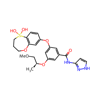 COC[C@H](C)Oc1cc(Oc2ccc3c(c2)OCCCS3(O)O)cc(C(=O)Nc2cc[nH]n2)c1